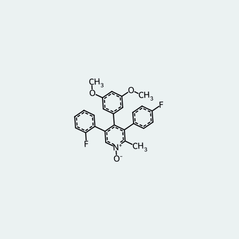 COc1cc(OC)cc(-c2c(-c3ccccc3F)c[n+]([O-])c(C)c2-c2ccc(F)cc2)c1